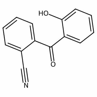 N#Cc1ccccc1C(=O)c1ccccc1O